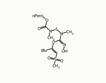 CCCCCOC(=O)N(C)SN(C)C(=NO)OC(=CS(C)(=O)=O)C(C)(C)C